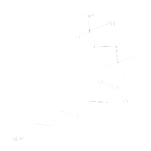 CCCCCCCCCCCCCCCCS(=O)(=O)CC(C)(C)COP(=O)(O)O